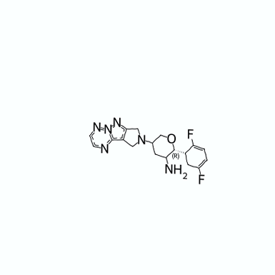 NC1CC(N2Cc3nn4nccnc4c3C2)CO[C@@H]1C1CC(F)=CC=C1F